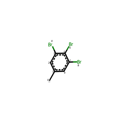 [CH]c1cc(Br)c(Br)c(Br)c1